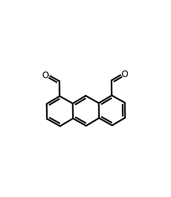 O=Cc1cccc2cc3cccc(C=O)c3cc12